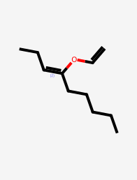 C=CO/C(=C\CC)CCCCC